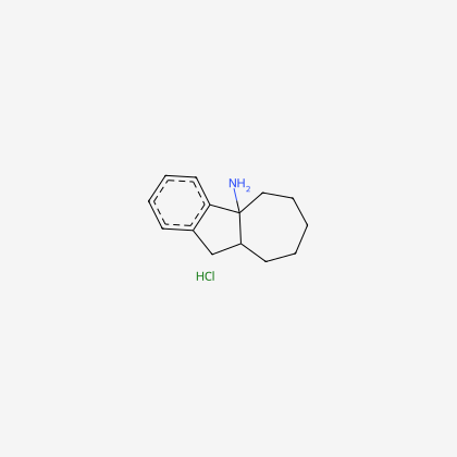 Cl.NC12CCCCCC1Cc1ccccc12